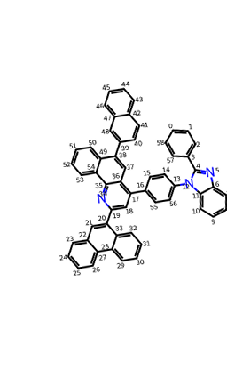 c1ccc(-c2nc3ccccc3n2-c2ccc(-c3cc(-c4cc5ccccc5c5ccccc45)nc4c3cc(-c3ccc5ccccc5c3)c3ccccc34)cc2)cc1